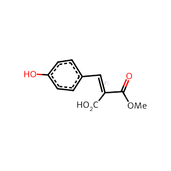 COC(=O)/C(=C/c1ccc(O)cc1)C(=O)O